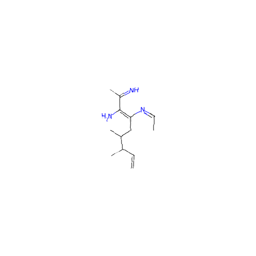 C=CC(C)C(C)CC(/N=C\C)=C(\N)C(C)=N